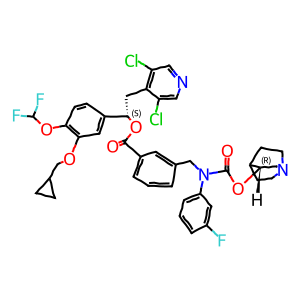 O=C(O[C@@H](Cc1c(Cl)cncc1Cl)c1ccc(OC(F)F)c(OCC2CC2)c1)c1cccc(CN(C(=O)O[C@H]2CN3CCC2CC3)c2cccc(F)c2)c1